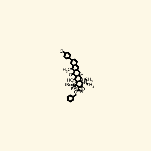 Cc1c2c(cc3ccc(-c4ccc(Cl)cc4)cc13)C[C@H]1C[C@H]3[C@H](N(C)C)c4onc(OCc5ccccc5)c4C(=O)[C@@]3(O[Si](C)(C)C(C)(C)C)C(O)=C1C2=O